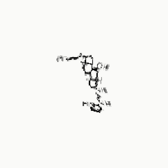 CC(C)CCCC(C)[C@H]1CCC2C3C(CC[C@@]21C)[C@@]1(C)CC[C@@H](NCCCNC2CCCN2)C[C@@H]1C[C@H]3O